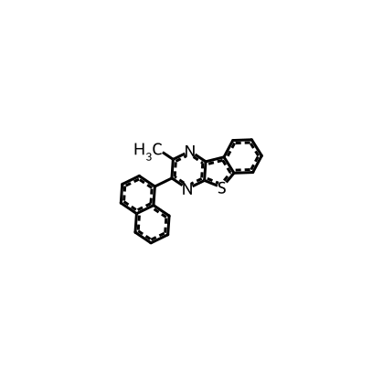 Cc1nc2c(nc1-c1cccc3ccccc13)sc1ccccc12